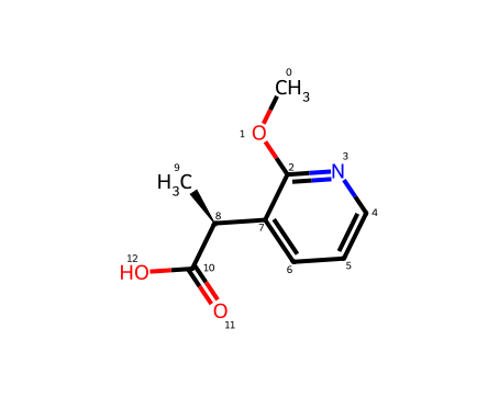 COc1ncccc1[C@H](C)C(=O)O